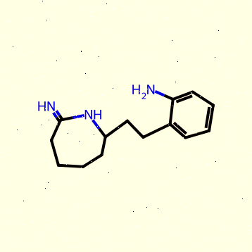 N=C1CCCCC(CCc2ccccc2N)N1